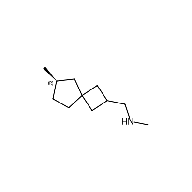 CNCC1CC2(CC[C@@H](C)C2)C1